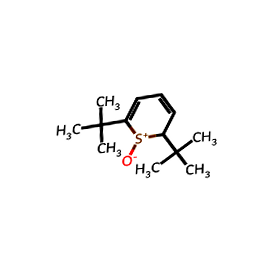 CC(C)(C)C1=CC=CC(C(C)(C)C)[S+]1[O-]